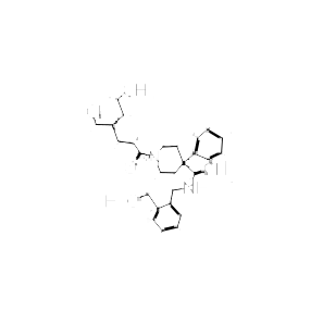 C=C(NCc1ccccc1CC)C1(c2ccccc2)CCN(C(=O)CCC(CC)CCC)CC1